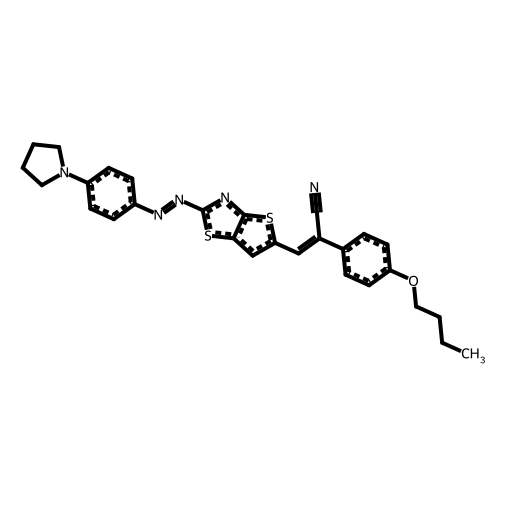 CCCCOc1ccc(/C(C#N)=C/c2cc3sc(/N=N/c4ccc(N5CCCC5)cc4)nc3s2)cc1